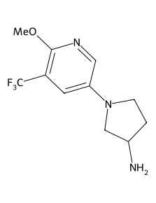 COc1ncc(N2CCC(N)C2)cc1C(F)(F)F